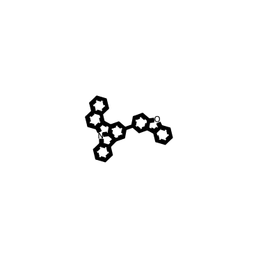 c1ccc2c(c1)ccc1c2c2cc(-c3ccc4oc5ccccc5c4c3)cc3c4ccccc4n1c32